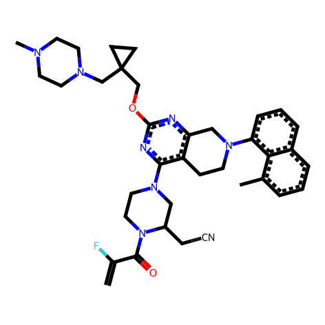 C=C(F)C(=O)N1CCN(c2nc(OCC3(CN4CCN(C)CC4)CC3)nc3c2CCN(c2cccc4cccc(C)c24)C3)CC1CC#N